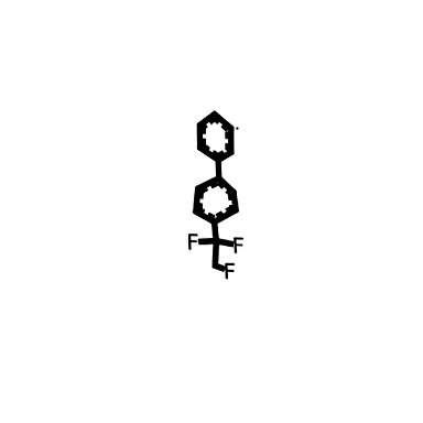 FCC(F)(F)c1ccc(-c2c[c]ccc2)cc1